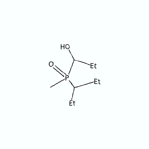 CCC(O)P(C)(=O)C(CC)CC